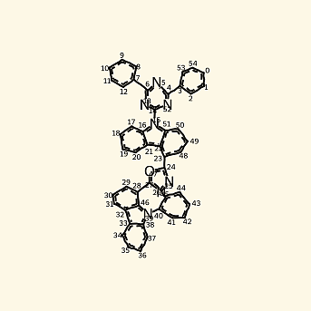 c1ccc(-c2nc(-c3ccccc3)nc(-n3c4ccccc4c4c(-c5nnc(-c6cccc7c8ccccc8n(-c8ccccc8)c67)o5)cccc43)n2)cc1